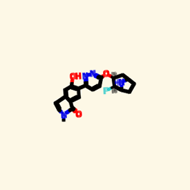 Cn1ccc2cc(O)c(-c3ccc(O[C@H]4CC5CCC(N5)[C@H]4F)nn3)cc2c1=O